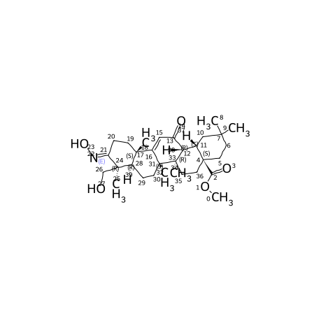 COC(=O)[C@]12CCC(C)(C)C[C@H]1[C@H]1C(=O)C=C3[C@@]4(C)CC/C(=N\O)[C@](C)(CO)[C@@H]4CC[C@@]3(C)[C@]1(C)CC2